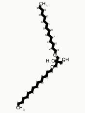 CCCCCCCCCCCCCCCOCC(C)(CO)COCCCCCCCCCCCCCCC